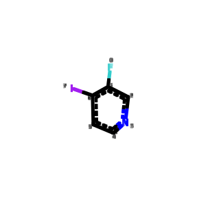 Fc1cn[c]cc1I